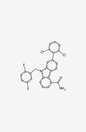 NC(=O)c1cccc2c1c1[c]cc(-c3c(Cl)cccc3Cl)cc1n2Cc1cc(F)ccc1F